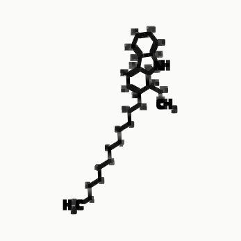 CCCCCCCCCCCCc1ccc2c([nH]c3ccccc32)c1CC